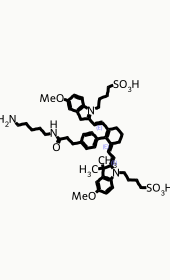 COc1ccc2c(c1)CC(/C=C/C1=C(c3ccc(CCC(=O)NCCCCCN)cc3)C(=C/C=C3/N(CCCCS(=O)(=O)O)c4ccc(OC)cc4C3(C)C)/CCC1)=[N+]2CCCCS(=O)(=O)O